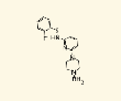 BN1CCN(c2cccc(NSc3ccccc3F)n2)CC1